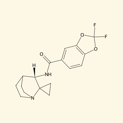 O=C(N[C@H]1C2CCN(CC2)C12CC2)c1ccc2c(c1)OC(F)(F)O2